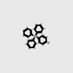 [F-].c1ccc([As+](c2ccccc2)(c2ccccc2)c2ccccc2)cc1